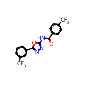 O=C(Nc1nnc(-c2cccc(C(F)(F)F)c2)o1)c1ccc(C(F)(F)F)cc1